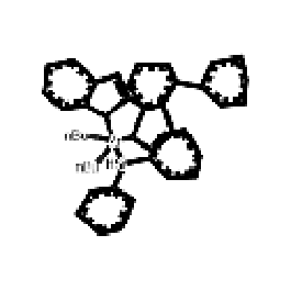 CCC[CH2][Zr]([CH2]CCC)([CH]1C=Cc2c(-c3ccccc3)cccc21)([CH]1C(C)=Cc2ccccc21)[SiH](c1ccccc1)c1ccccc1